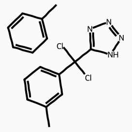 Cc1cccc(C(Cl)(Cl)c2nnn[nH]2)c1.Cc1ccccc1